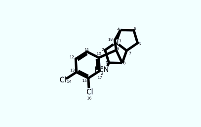 NC1CN2C3CCC2C1C(c1ccc(Cl)c(Cl)c1)C3